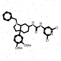 COc1ccc(C23CCC(NC(=O)Nc4cc(Cl)nc(Cl)c4)CC2N(Cc2ccccc2)CC3)cc1OC